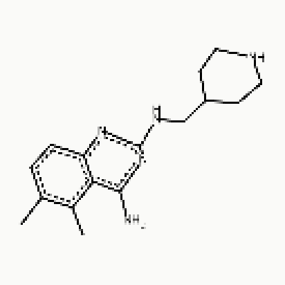 Cc1ccc2nc(NCC3CCNCC3)nc(N)c2c1C